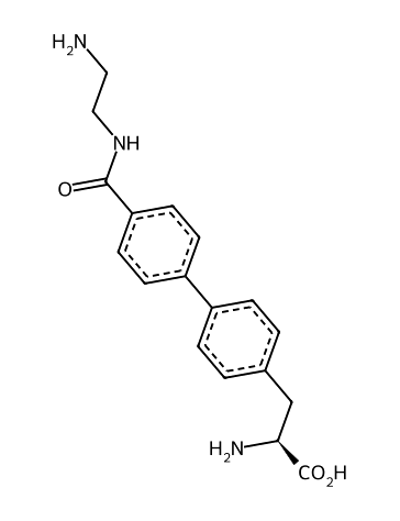 NCCNC(=O)c1ccc(-c2ccc(C[C@H](N)C(=O)O)cc2)cc1